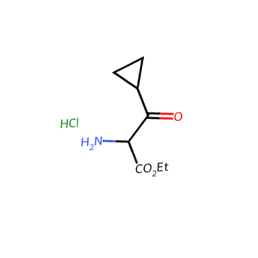 CCOC(=O)C(N)C(=O)C1CC1.Cl